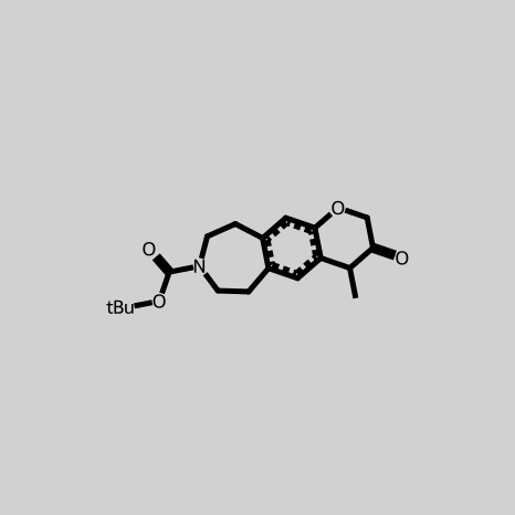 CC1C(=O)COc2cc3c(cc21)CCN(C(=O)OC(C)(C)C)CC3